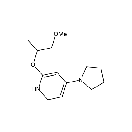 COCC(C)OC1=CC(N2CCCC2)=CCN1